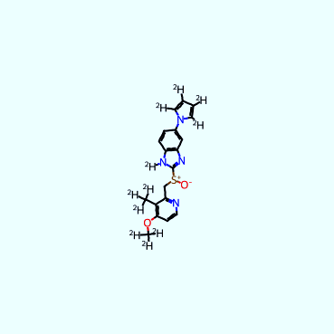 [2H]c1c([2H])c([2H])n(-c2ccc3c(c2)nc([S+]([O-])Cc2nccc(OC([2H])([2H])[2H])c2C([2H])([2H])[2H])n3[2H])c1[2H]